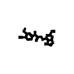 COc1cc(NC(=O)CSc2nc(O)nc3nc[nH]c23)ccc1O